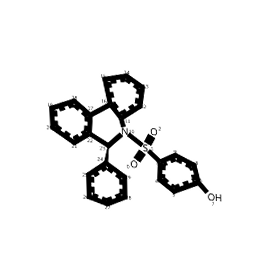 O=S(=O)(c1ccc(O)cc1)N1c2ccccc2-c2ccccc2[C@@H]1c1ccccc1